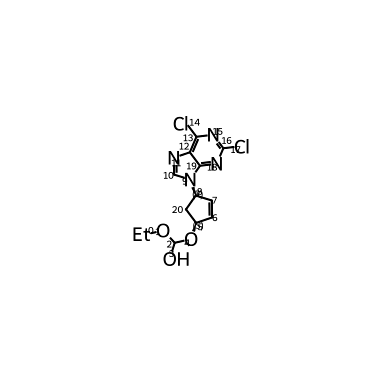 CCOC(O)O[C@@H]1C=C[C@H](n2cnc3c(Cl)nc(Cl)nc32)C1